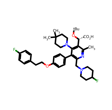 Cc1nc(CN2CCC(F)CC2)c(-c2ccc(OCCc3ccc(F)cc3)cc2)c(N2CCC(C)(C)CC2)c1[C@H](OC(C)(C)C)C(=O)O